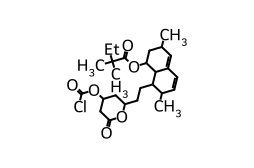 CCC(C)(C)C(=O)OC1CC(C)C=C2C=CC(C)C(CCC3CC(OC(=O)Cl)CC(=O)O3)C21